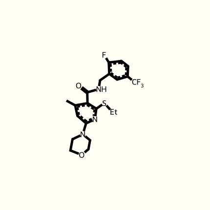 CCSc1nc(N2CCOCC2)cc(C)c1C(=O)NCc1cc(C(F)(F)F)ccc1F